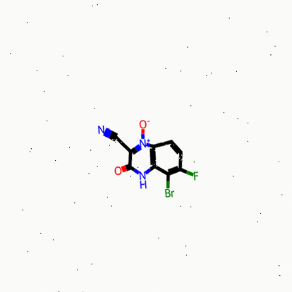 N#Cc1c(=O)[nH]c2c(Br)c(F)ccc2[n+]1[O-]